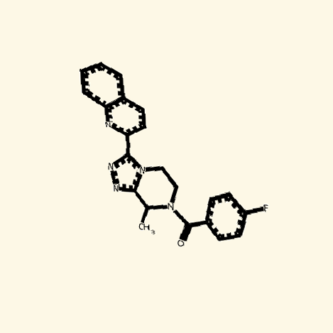 CC1c2nnc(-c3ccc4ccccc4n3)n2CCN1C(=O)c1ccc(F)cc1